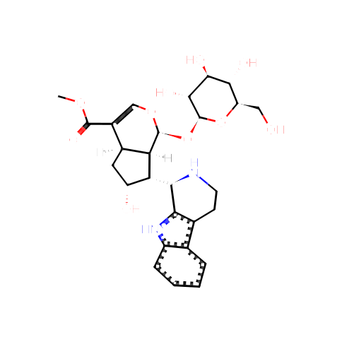 COC(=O)C1=CO[C@@H](O[C@@H]2O[C@H](CO)[C@@H](O)[C@H](O)[C@H]2O)[C@H]2[C@H]([C@H]3NCCc4c3[nH]c3ccccc43)[C@H](O)C[C@@H]12